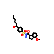 CCCCCC(=O)c1ccc(S(=O)(=O)NC(=O)C2CCc3c(OC)cccc32)cc1